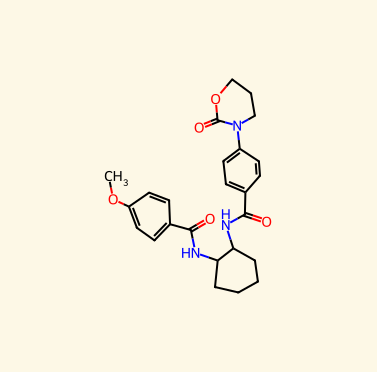 COc1ccc(C(=O)NC2CCCCC2NC(=O)c2ccc(N3CCCOC3=O)cc2)cc1